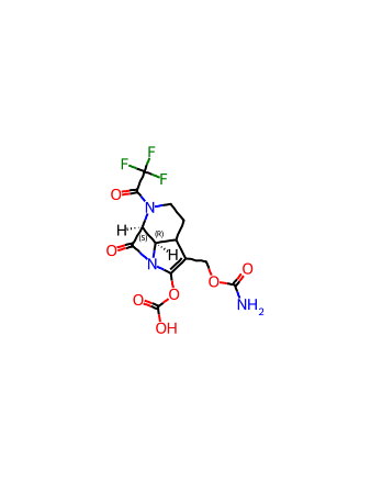 NC(=O)OCC1=C(OC(=O)O)N2C(=O)[C@@H]3[C@H]2C1CCN3C(=O)C(F)(F)F